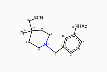 CC(=O)Nc1cccc(CN2CCC(CC#N)(C(C)C)CC2)c1